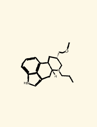 CCCN1C[C@@H](COC)CC2c3cccc4[nH]cc(c34)C[C@H]21